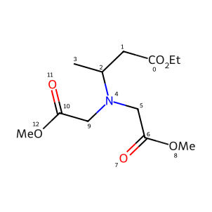 CCOC(=O)CC(C)N(CC(=O)OC)CC(=O)OC